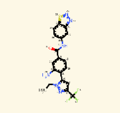 CCn1nc(C(F)(F)F)cc1-c1ccc(C(=O)Nc2ccc3snnc3c2)cc1N